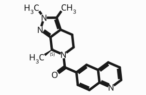 Cc1c2c(nn1C)[C@H](C)N(C(=O)c1ccc3ncccc3c1)CC2